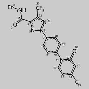 CCNC(=O)c1nn(-c2ccc(-n3ccc(Cl)cc3=O)cc2)nc1C(F)(F)F